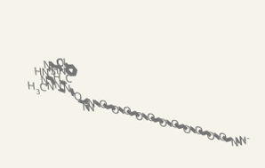 Cc1nc(Nc2ncc(C(=O)Nc3c(C)cccc3Cl)s2)cc(N2CCN(CCOCc3cn(CCOCCOCCOCCOCCOCCOCCOCCOCCOCCOCCOCCN=[N+]=[N-])nn3)CC2)n1